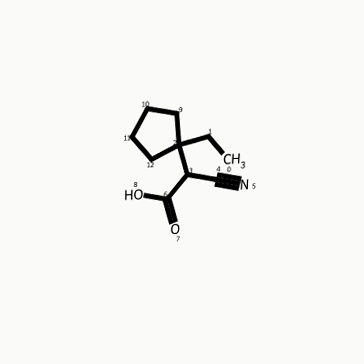 CCC1(C(C#N)C(=O)O)CCCC1